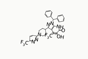 O=C1Nc2c(c(C3CCN(c4ccc(C(F)(F)F)nn4)CC3)nn2C(c2ccccc2)c2ccccc2)[C@H](C(F)(F)F)[C@H]1O